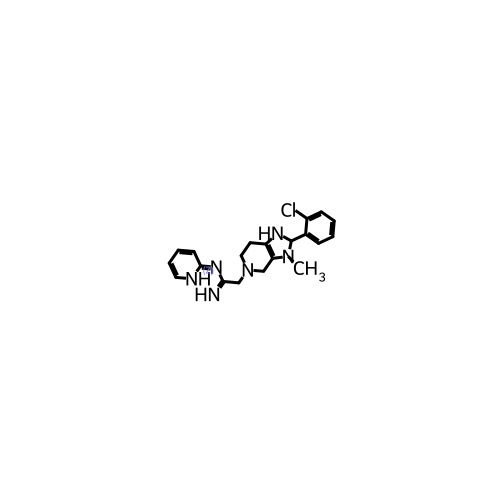 CN1C2=C(CCN(CC(=N)/N=c3/cccc[nH]3)C2)NC1c1ccccc1Cl